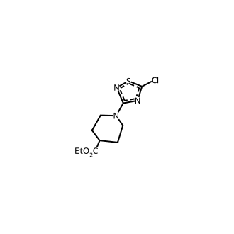 CCOC(=O)C1CCN(c2nsc(Cl)n2)CC1